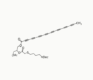 CC#CC#CC#CC#CC#CC#CC#CC#CC(=O)OCC(COC(C)=O)OC(=O)CSCCCCCCCCCCCCCC